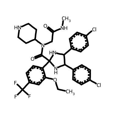 CCOc1cc(C(F)(F)F)ccc1C1(C(=O)N(CC(=O)NC)C2CCNCC2)NC(c2ccc(Cl)cc2)C(c2ccc(Cl)cc2)N1